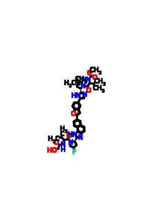 COC(=O)N[C@H](C(=O)N1C[Si](C)(C)C[C@H]1c1ncc(-c2ccc3oc(-c4ccc5c(ccc6nc([C@@H]7C[C@@H](F)CN7C(=O)[C@@H](NC(=O)CO)C(C)C)[nH]c65)c4)cc3c2)[nH]1)C(C)C